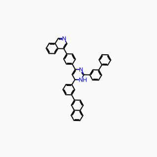 C1=C(c2ccc(-c3cncc4ccccc34)cc2)N=C(c2cccc(-c3ccccc3)c2)NC1c1cccc(-c2ccc3ccccc3c2)c1